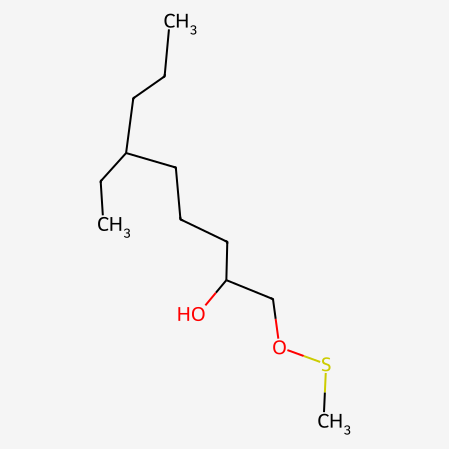 CCCC(CC)CCCC(O)COSC